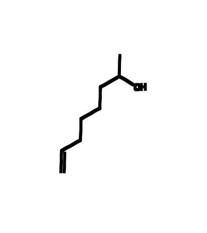 C=CCCCCC(C)O